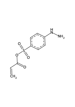 C=CC(=O)OS(=O)(=O)c1ccc(NN)cc1